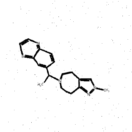 CC(c1ccc2nccnc2c1)N1CCc2cn(C)nc2CC1